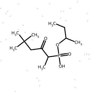 CCC(C)OP(=O)(O)C(C)C(=O)CC(C)(C)C